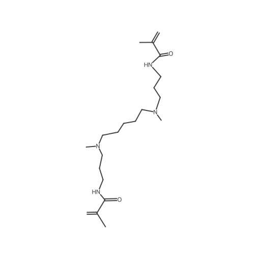 C=C(C)C(=O)NCCCN(C)CCCCCN(C)CCCNC(=O)C(=C)C